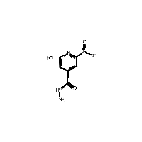 Cl.NNC(=O)c1ccnc([N+](=O)[O-])c1